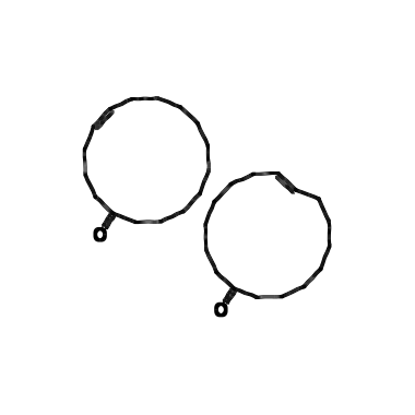 O=C1CCC/C=C\CCCCCCCCCC1.O=C1CCCCCC/C=C/CCCCCCC1